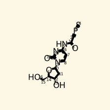 O=C(C#P=S)Nc1ccn([C@H]2C[C@H](O)[C@@H](CO)O2)c(=O)n1